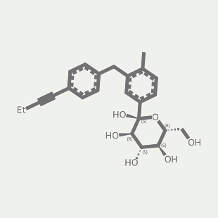 CCC#Cc1ccc(Cc2cc([C@]3(O)O[C@H](CO)[C@@H](O)[C@H](O)[C@H]3O)ccc2C)cc1